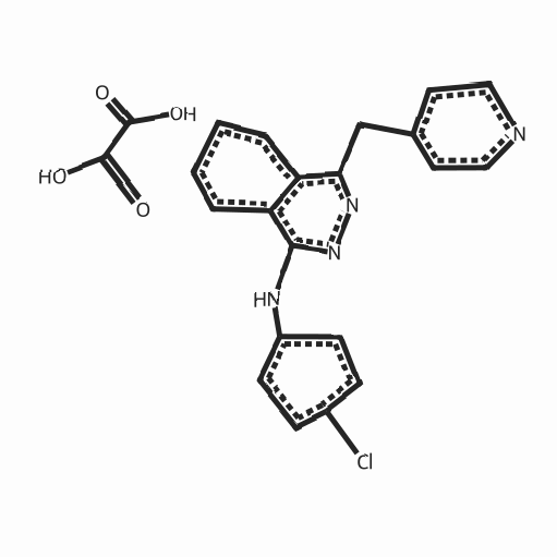 Clc1ccc(Nc2nnc(Cc3ccncc3)c3ccccc23)cc1.O=C(O)C(=O)O